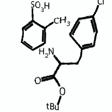 CC(C)(C)OC(=O)C(N)Cc1ccc(Cl)cc1.Cc1ccccc1S(=O)(=O)O